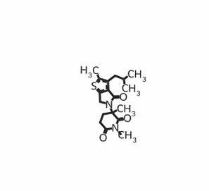 Cc1sc2c(c1CC(C)C)C(=O)N(C1(C)CCC(=O)N(C)C1=O)C2